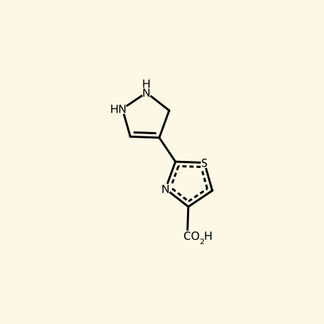 O=C(O)c1csc(C2=CNNC2)n1